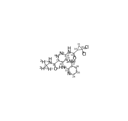 [2H]C([2H])([2H])NC(=O)c1nnc(NC(=O)C2CC2(Cl)Cl)cc1Nc1ncccc1SC